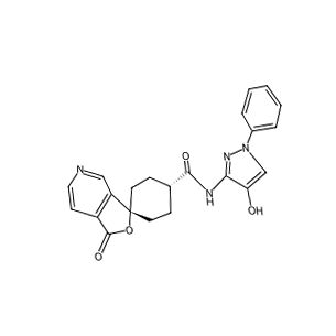 O=C1O[C@]2(CC[C@@H](C(=O)Nc3nn(-c4ccccc4)cc3O)CC2)c2cnccc21